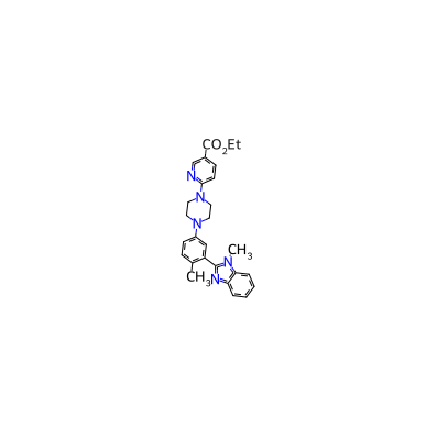 CCOC(=O)c1ccc(N2CCN(c3ccc(C)c(-c4nc5ccccc5n4C)c3)CC2)nc1